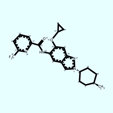 C[C@H]1CC[C@H](n2cc3cc(NC(=O)c4cccc(C(F)(F)F)n4)c(OC4CC4)cc3n2)CC1